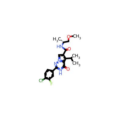 COC[C@@H](C)NC(=O)c1cn2nc(-c3ccc(Cl)c(F)c3)[nH]c(=O)c2c1C(C)C